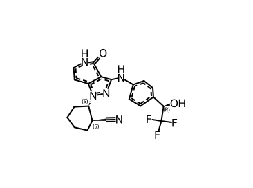 N#C[C@H]1CCCC[C@@H]1n1nc(Nc2ccc([C@@H](O)C(F)(F)F)cc2)c2c(=O)[nH]ccc21